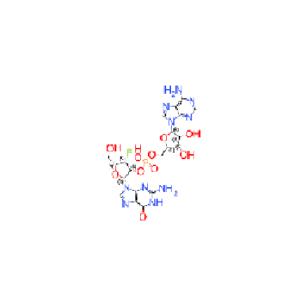 Nc1nc2c(ncn2[C@@H]2O[C@H](CO)[C@H](F)[C@H]2OP(=O)(O)OC[C@H]2O[C@@H](n3cnc4c(N)ncnc43)[C@H](O)[C@@H]2O)c(=O)[nH]1